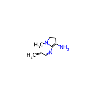 C=C/C=N\C1=C(N)CCN1C